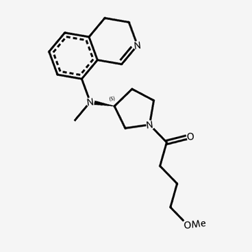 COCCCC(=O)N1CC[C@H](N(C)c2cccc3c2C=NCC3)C1